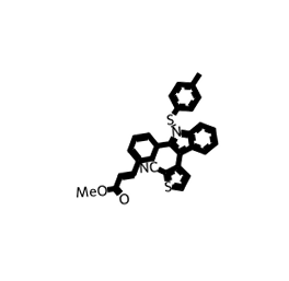 COC(=O)/C=C/C1=CC=CC(c2c(-c3ccsc3C#N)c3ccccc3n2Sc2ccc(C)cc2)C1